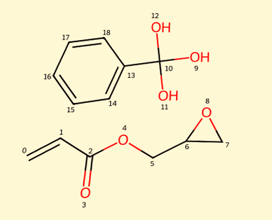 C=CC(=O)OCC1CO1.OC(O)(O)c1ccccc1